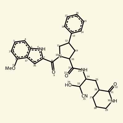 COc1cccc2[nH]c(C(=O)N3CC(c4ccccc4)CC3C(=O)NC(CC3CCCNC3=O)C(O)C#N)cc12